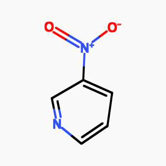 O=[N+]([O-])c1cccnc1